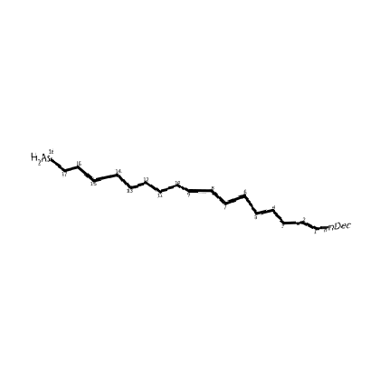 CCCCCCCCCCCCCCCCCCCCCCCCCCC[AsH2]